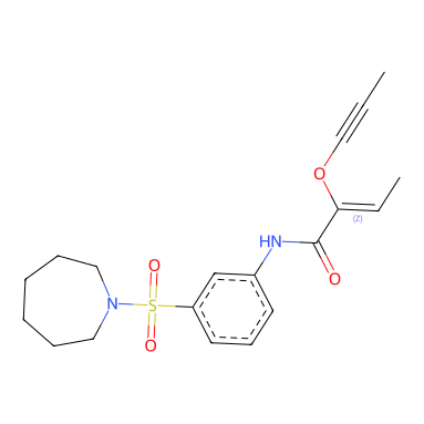 CC#CO/C(=C\C)C(=O)Nc1cccc(S(=O)(=O)N2CCCCCC2)c1